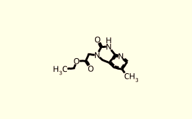 CCOC(=O)CN1Cc2cc(C)cnc2NC1=O